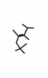 CC(CC(C)(C)C)=C(C)C(C)C